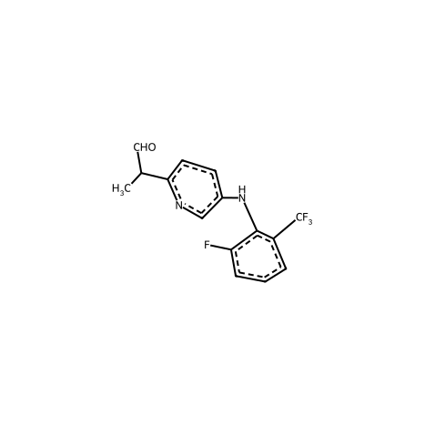 CC(C=O)c1ccc(Nc2c(F)cccc2C(F)(F)F)cn1